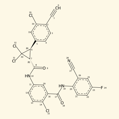 C#Cc1ccc([C@H]2[C@H](C(=O)Nc3ccc(Cl)c(C(=O)Nc4ccc(F)cc4C#N)c3)C2(Cl)Cl)cc1Cl